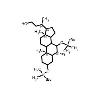 CC[C@H]1C(O[Si](C)(C)C(C)(C)C)C2C(CC[C@@]3(C)C2CC[C@@H]3[C@H](C)CCO)[C@@]2(C)CCC(O[Si](C)(C)C(C)(C)C)CC12